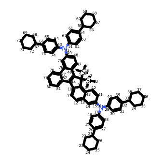 C[Si](C)(C)C1([Si](C)(C)C)c2c(ccc3cc(N(c4ccc(C5CCCCC5)cc4)c4ccc(C5CCCCC5)cc4)ccc23)-c2c1c1ccc(N(c3ccc(C4CCCCC4)cc3)c3ccc(C4CCCCC4)cc3)cc1c1ccccc21